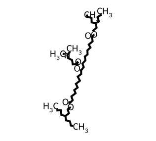 CCCCC(CCCC)CCOC(=O)CCCCCCCCCC(CCCCCCCCCC(=O)OCCC(CCCC)CCCC)OC(=O)CCCN(C)CC